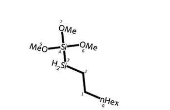 CCCCCCCC[SiH2][Si](OC)(OC)OC